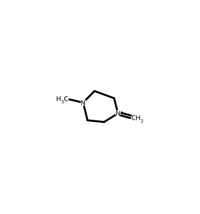 C=[N+]1CCN(C)CC1